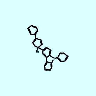 BrC1(c2ccc3c(c2)c2ccccc2n3-c2ccccc2)C=CC(c2ccccc2)=CC1